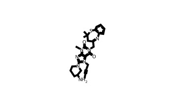 CC#CCn1c(N2CCCC(N)C2)nc2c1c(=O)n(CC1=Nc3ccccc3SC(C)(C)C1)c(=O)n2C